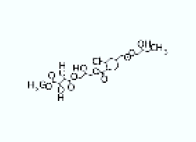 CCC(O)COOCC1CCC(C(=O)OCC(O)COC(=O)C(O)C(O)C(=O)OC)C(Cl)C1